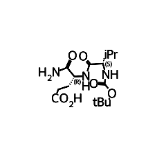 CC(C)[C@H](NC(=O)OC(C)(C)C)C(=O)N[C@H](CCC(=O)O)C(N)=O